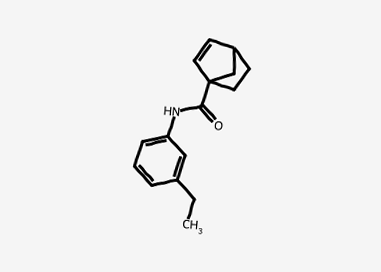 CCc1cccc(NC(=O)C23C=CC(CC2)C3)c1